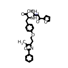 C/C(=C/C(=O)c1ccco1)NC(Cc1ccc(OCCc2nc(-c3ccccc3)oc2C)cc1)C(=O)O